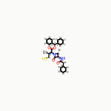 CC/C(CS)=C(\C(=O)OC(c1ccccc1)c1ccccc1)N1C(=O)[C@@H](NC(=O)Cc2ccccc2)[C@H]1C